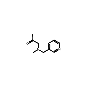 CC(=O)CN(C)Cc1cccnc1